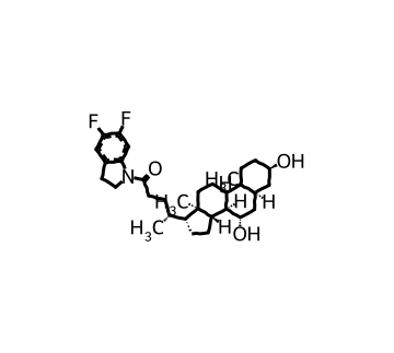 C[C@H](CCC(=O)N1CCc2cc(F)c(F)cc21)[C@H]1CC[C@H]2[C@@H]3[C@@H](O)C[C@@H]4C[C@H](O)CC[C@]4(C)[C@H]3CC[C@]12C